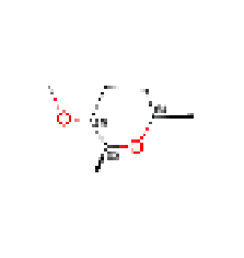 CO[C@@H]1CC[C@@H](C)O[C@H]1C